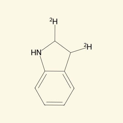 [2H]C1Nc2ccccc2C1[2H]